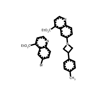 CCOC(=O)c1ccnc2ccc(Br)cc12.CCOC(=O)c1ccnc2ccc(N3CC(c4ccc(C)cc4)C3)cc12